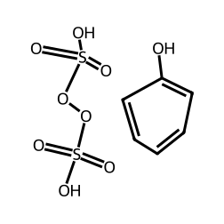 O=S(=O)(O)OOS(=O)(=O)O.Oc1ccccc1